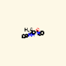 Cc1cc(C(=O)N2CCc3ccccc32)ccc1CNC1Cc2ccccc2C1